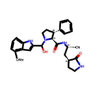 COc1cccc2[nH]c(C(O)N3CC[C@H](c4ccccc4)[C@H]3C(=O)N[C@H](C#N)C[C@@H]3CCNC3=O)cc12